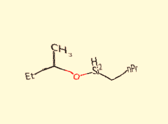 CCCC[SiH2]OC(C)CC